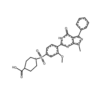 COc1cc(S(=O)(=O)N2CCC(C(=O)O)CC2)ccc1-c1nc2c(c(-c3ccccc3)nn2C)c(=O)[nH]1